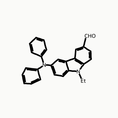 CCn1c2ccc(C=O)cc2c2cc(N(c3ccccc3)c3ccccc3)ccc21